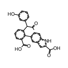 CC(=O)C(c1cccc(O)c1)c1cccc(C(=O)O)c1-c1ccc2[nH]c(C(=O)O)cc2c1